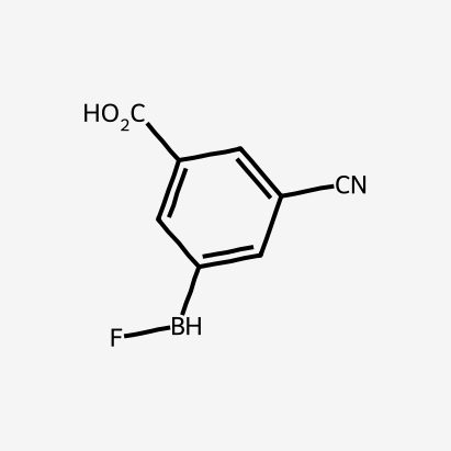 N#Cc1cc(BF)cc(C(=O)O)c1